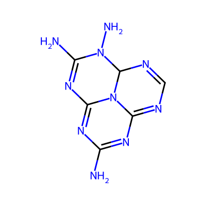 NC1=NC2=NC=NC3N(N)C(N)=NC(=N1)N23